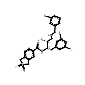 CCc1cccc(CNC[C@@H](O)[C@H](Cc2cc(F)cc(F)c2)NC(=O)c2ccc3c(c2)CS(=O)(=O)C3)c1